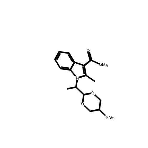 CNC1COC(C(C)n2c(C)c(C(=O)OC)c3ccccc32)OC1